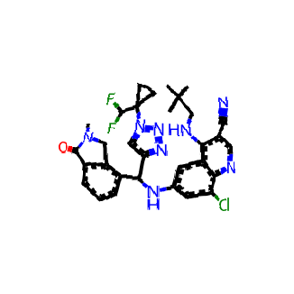 CN1Cc2c(cccc2C(Nc2cc(Cl)c3ncc(C#N)c(NCC(C)(C)C)c3c2)c2cn(C3(C(F)F)CC3)nn2)C1=O